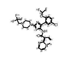 C=C/C(C(=O)Nc1sc(N2CCN(CC(F)(F)F)CC2)nc1-c1cc(Cl)ccc1OC(F)F)=C1/N=CC=CN1C